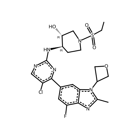 CCS(=O)(=O)N1CC[C@@H](Nc2ncc(Cl)c(-c3cc(F)c4nc(C)n(C5COC5)c4c3)n2)[C@H](O)C1